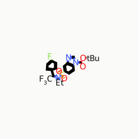 CCN([C@H](c1ccc(F)cc1)C(F)(F)F)S(=O)(=O)c1ccc2c(c1)ncn2C(=O)OC(C)(C)C